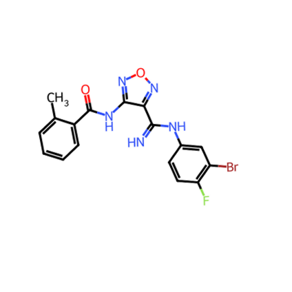 Cc1ccccc1C(=O)Nc1nonc1C(=N)Nc1ccc(F)c(Br)c1